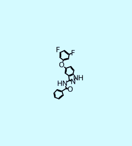 O=C(Nc1n[nH]c2ccc(Oc3cc(F)cc(F)c3)cc12)c1ccccc1